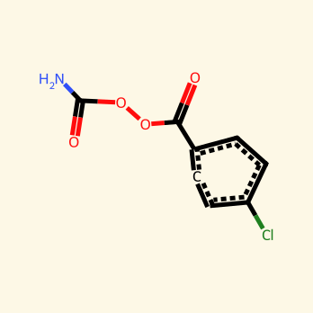 NC(=O)OOC(=O)c1ccc(Cl)cc1